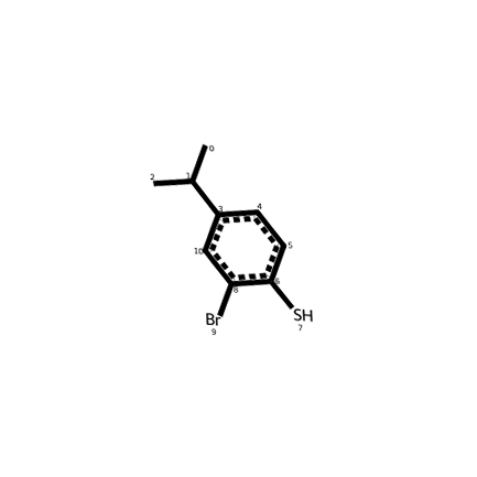 CC(C)c1ccc(S)c(Br)c1